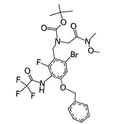 CON(C)C(=O)CN(Cc1c(Br)cc(OCc2ccccc2)c(NC(=O)C(F)(F)F)c1F)C(=O)OC(C)(C)C